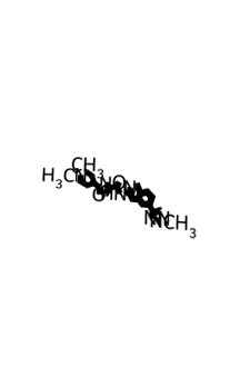 CC(C)N1CCC(c2nc(C(=O)Nc3cc4cc(-c5cn(C)nn5)ccc4cn3)co2)CC1